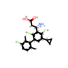 Cc1ccc(F)c(C)c1-c1cc(C2CC2)c(F)c([C@@H](N)CC(=O)O)c1F